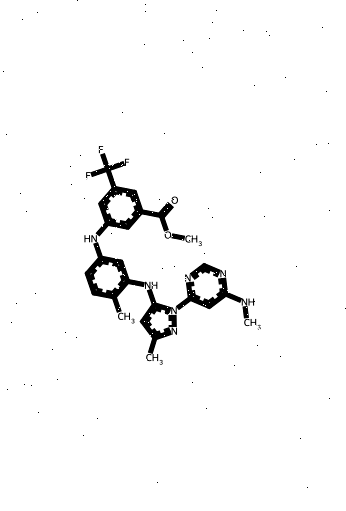 CNc1cc(-n2nc(C)cc2Nc2cc(Nc3cc(C(=O)OC)cc(C(F)(F)F)c3)ccc2C)ncn1